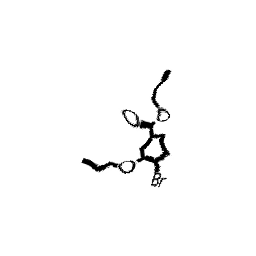 C=CCOC(=O)c1ccc(Br)c(OCC=C)c1